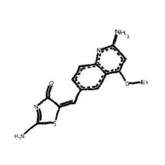 CCOc1cc(N)nc2ccc(/C=C3/SC(N)=NC3=O)cc12